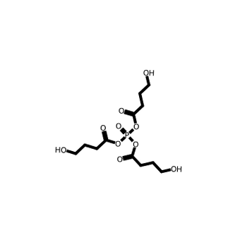 O=C(CCCO)OP(=O)(OC(=O)CCCO)OC(=O)CCCO